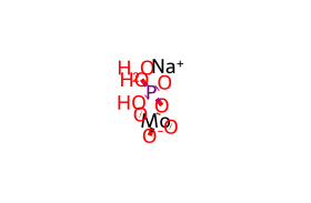 O.O=P(O)(O)[O][Mo](=[O])(=[O])[O-].[Na+]